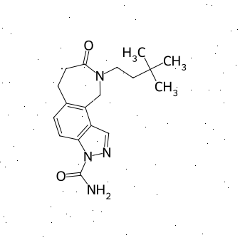 CC(C)(C)CCN1Cc2c(ccc3c2cnn3C(N)=O)C[CH]C1=O